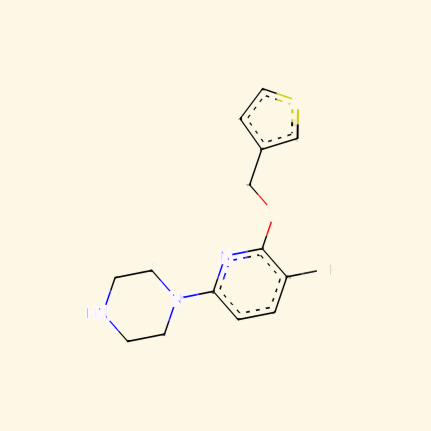 FC(F)(F)c1ccc(N2CCNCC2)nc1OCc1ccsc1